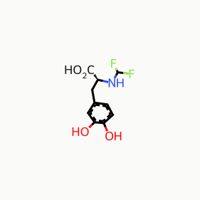 O=C(O)[C@H](Cc1ccc(O)c(O)c1)NC(F)F